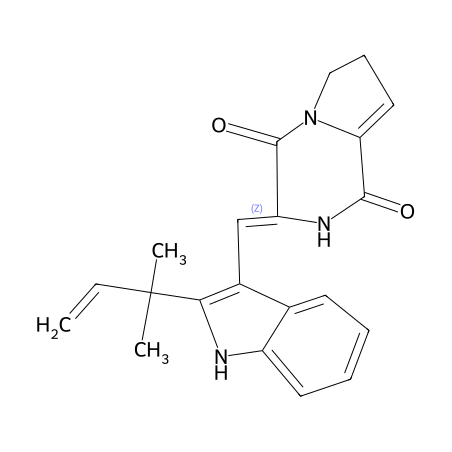 C=CC(C)(C)c1[nH]c2ccccc2c1/C=c1\[nH]c(=O)c2n(c1=O)CCC=2